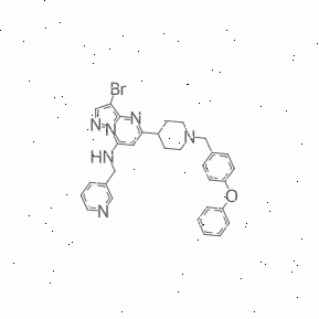 Brc1cnn2c(NCc3cccnc3)cc(C3CCN(Cc4ccc(Oc5ccccc5)cc4)CC3)nc12